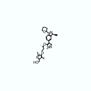 C#Cc1nn(C2CCCCO2)c2ccc(-c3cnn(C)c3O[C@@H](C)CCOc3c(I)c(CO)nn3C)cc12